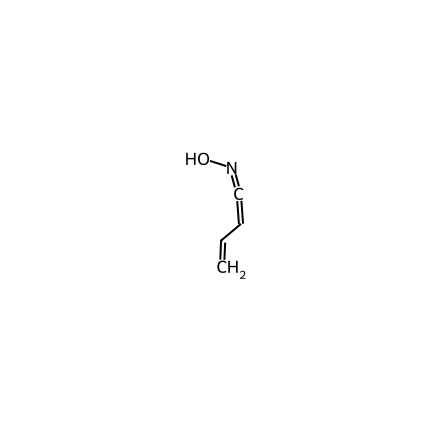 C=CC=C=NO